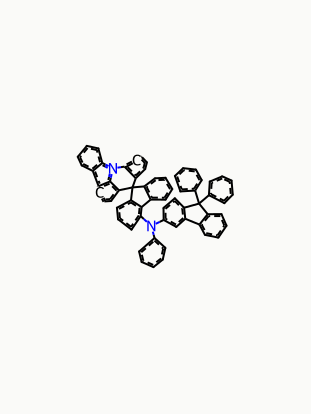 c1ccc(N(c2ccc3c(c2)-c2ccccc2C3(c2ccccc2)c2ccccc2)c2cccc3c2-c2ccccc2C32c3ccccc3-n3c4ccccc4c4cccc2c43)cc1